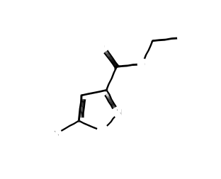 CCOC(=O)c1cc(N)on1